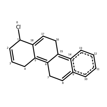 ClC1C=CCC2=C3CC=c4ccccc4=C3CC=C21